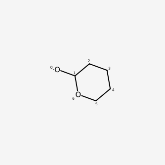 [O]C1CCCCO1